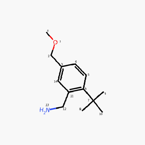 COCc1ccc(C(C)(C)C)c(CN)c1